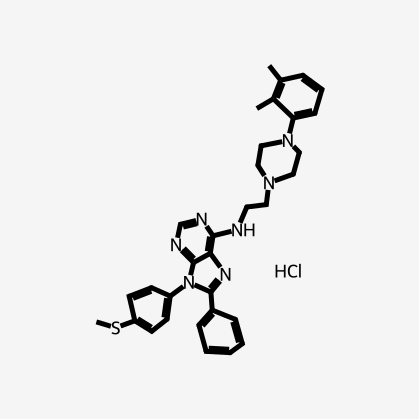 CSc1ccc(-n2c(-c3ccccc3)nc3c(NCCN4CCN(c5cccc(C)c5C)CC4)ncnc32)cc1.Cl